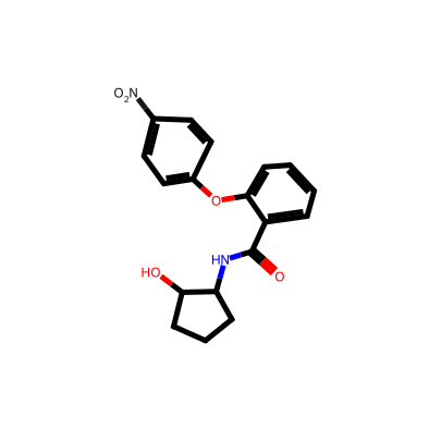 O=C(NC1CCCC1O)c1ccccc1Oc1ccc([N+](=O)[O-])cc1